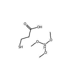 CO[SiH](OC)OC.O=C(O)CCS